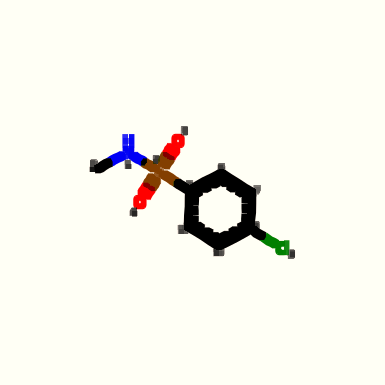 [CH2]NS(=O)(=O)c1ccc(Cl)cc1